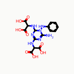 NC1=NC(NC(C(=O)O)C(=O)O)=NC(NC(C(=O)O)C(=O)O)N1Nc1ccccc1